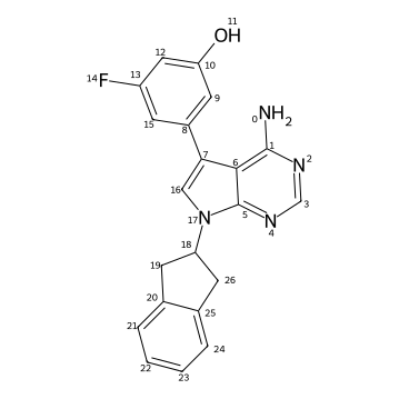 Nc1ncnc2c1c(-c1cc(O)cc(F)c1)cn2C1Cc2ccccc2C1